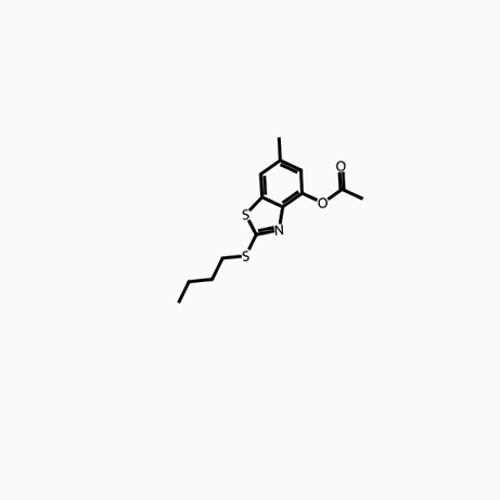 CCCCSc1nc2c(OC(C)=O)cc(C)cc2s1